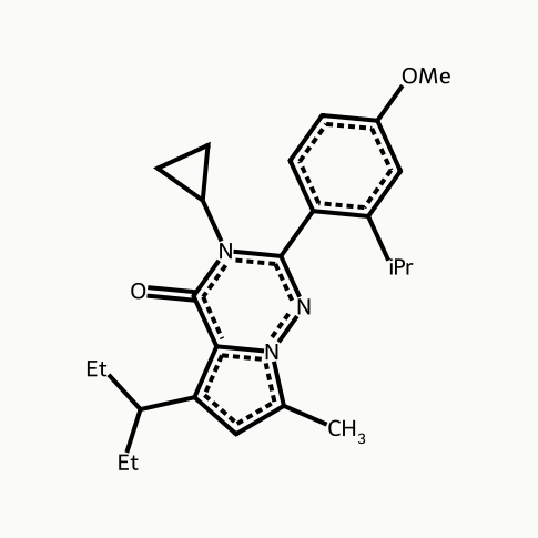 CCC(CC)c1cc(C)n2nc(-c3ccc(OC)cc3C(C)C)n(C3CC3)c(=O)c12